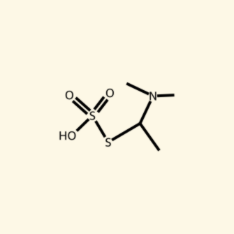 CC(SS(=O)(=O)O)N(C)C